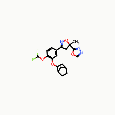 CC1(c2nnco2)CC(c2ccc(OC(F)F)c(OC3CC4CCC3C4)c2)=NO1